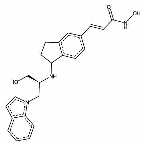 O=C(/C=C/c1ccc2c(c1)CCC2N[C@H](CO)Cn1ccc2ccccc21)NO